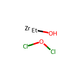 CCO.ClOCl.[Zr]